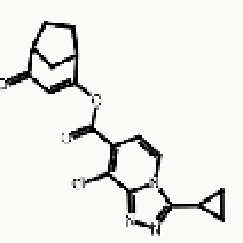 O=C(OC1=CC(=O)C2CCC1C2)c1ccn2c(C3CC3)nnc2c1Cl